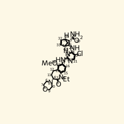 CCN1C(=O)[C@@H](N2CCOCC2)CCc2c1ccc(Nc1ncc(Cl)c(N[C@H]3[C@@H](C(N)=O)[C@@H]4C=C[C@H]3C4)n1)c2OC